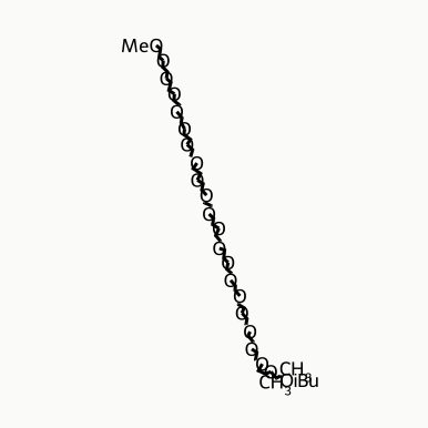 COCCOCCOCCOCCOCCOCCOCCOCCOCCOCCOCCOCCOCCOCCOCCOCCOCCOCCOCCOCC(C)OCC(C)OCC(C)C